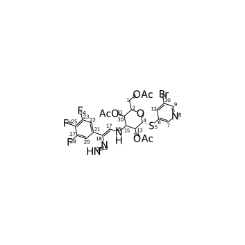 CC(=O)OCC1O[C@H](Sc2cncc(Br)c2)C(OC(C)=O)C(N/C=C(\N=N)c2cc(F)c(F)c(F)c2)[C@H]1OC(C)=O